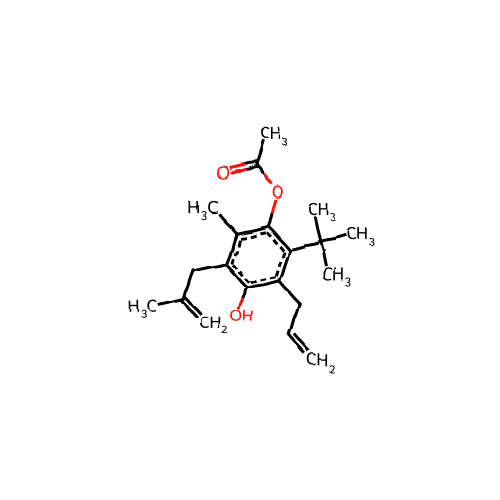 C=CCc1c(O)c(CC(=C)C)c(C)c(OC(C)=O)c1C(C)(C)C